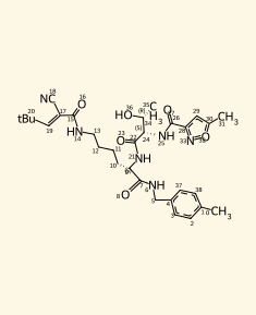 Cc1ccc(CNC(=O)[C@H](CCCCNC(=O)C(C#N)=CC(C)(C)C)NC(=O)[C@@H](NC(=O)c2cc(C)on2)[C@@H](C)O)cc1